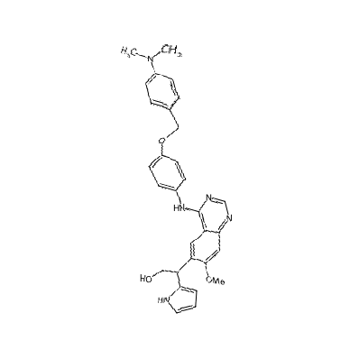 COc1cc2ncnc(Nc3ccc(OCc4ccc(N(C)C)cc4)cc3)c2cc1C(CO)c1ccc[nH]1